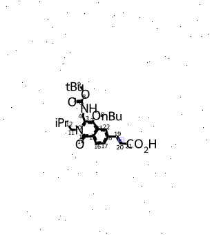 CCCCOc1c(CNC(=O)OC(C)(C)C)n(CC(C)C)c(=O)c2ccc(/C=C/C(=O)O)cc12